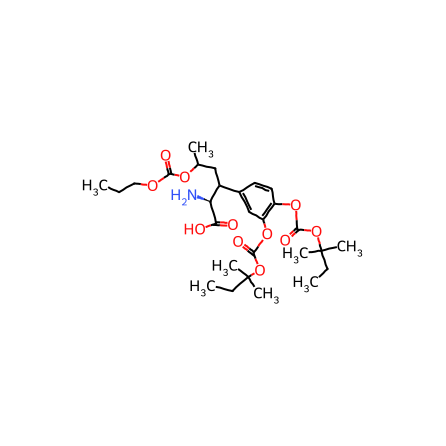 CCCOC(=O)OC(C)CC(c1ccc(OC(=O)OC(C)(C)CC)c(OC(=O)OC(C)(C)CC)c1)[C@H](N)C(=O)O